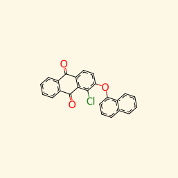 O=C1c2ccccc2C(=O)c2c1ccc(Oc1cccc3ccccc13)c2Cl